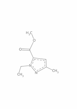 CCn1nc(C)cc1C(=O)OC